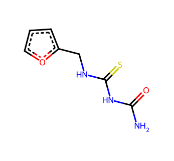 NC(=O)NC(=S)NCc1ccco1